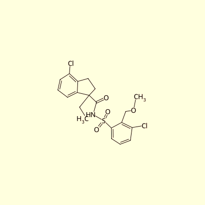 CCC1(C(=O)NS(=O)(=O)c2cccc(Cl)c2COC)CCc2c(Cl)cccc21